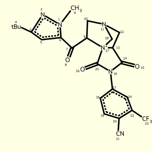 Cn1nc(C(C)(C)C)cc1C(=O)C1CN2CC3C(=O)N(c4ccc(C#N)c(C(F)(F)F)c4)C(=O)[N+]13C2